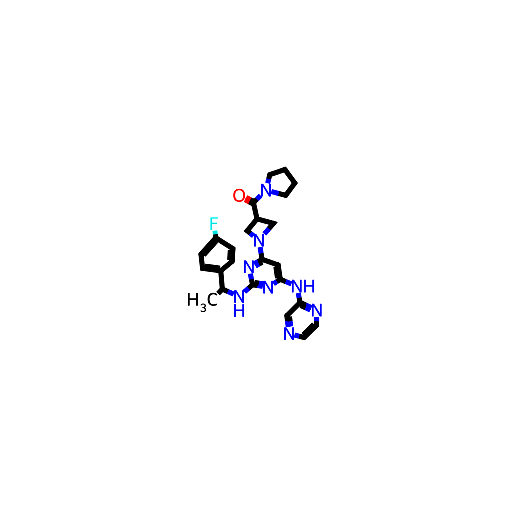 CC(Nc1nc(Nc2cnccn2)cc(N2CC(C(=O)N3CCCC3)C2)n1)c1ccc(F)cc1